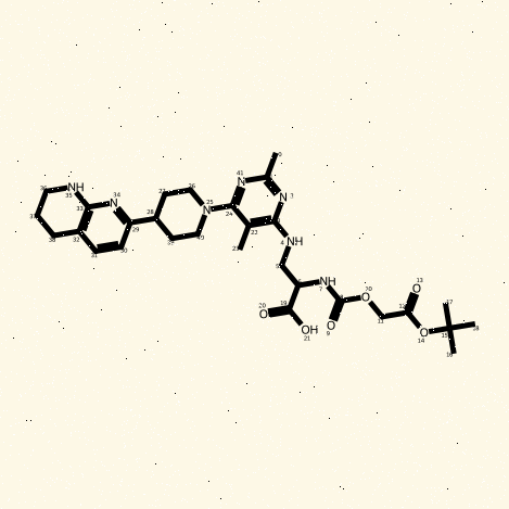 Cc1nc(NCC(NC(=O)OCC(=O)OC(C)(C)C)C(=O)O)c(C)c(N2CCC(c3ccc4c(n3)NCCC4)CC2)n1